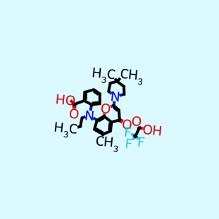 CCCN(c1ccccc1C(=O)O)c1cc(C)cc2c(=O)cc(N3CCC(C)(C)CC3)oc12.O=C(O)C(F)(F)F